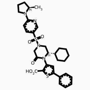 C[C@@H]1CCCN1c1ccc(S(=O)(=O)N2CC(=O)N(c3cc(-c4ccccc4)sc3C(=O)O)[C@@H](C3CCCCC3)C2)cn1